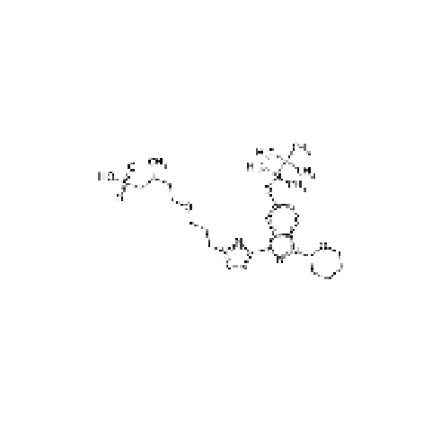 C[C@H](CCOCCCn1ncc(-c2nn(C3CCCCO3)c3ccc(O[Si](C)(C)C(C)(C)C)cc23)n1)CS(=O)(=O)O